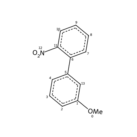 COc1cccc(-c2ccc[c]c2[N+](=O)[O-])c1